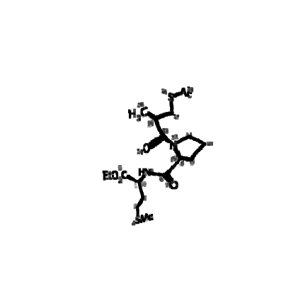 CCOC(=O)[C@H](CCSC)NC(=O)[C@@H]1CCCN1C(=O)C(C)CSC(C)=O